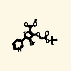 COC(=O)c1sc(-c2cccnc2)c(Br)c1OCC(=O)OC(C)(C)C